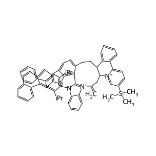 C=C1CC2C(CCc3ccc4c(oc5cc6c(ccc7ccccc76)cc54)c3-c3n(-c4c(C(C)C)cc(-c5ccccc5)cc4C(C)C)c4ccccc4[n+]31)c1ccccc1-c1ccc([Si](C)(C)C)c[n+]12